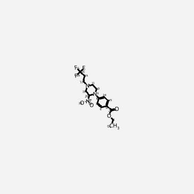 CCOC(=O)c1ccc(N2CCN(CCC(F)(F)F)CC2[N+](=O)[O-])cc1